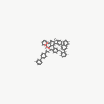 c1ccc(-c2ccc(-c3nc(-c4ccccc4)nc(-c4ccc(-n5c6ccccc6c6cc7ccccc7cc65)cc4-c4c5ccccc5cc5oc6ccccc6c45)n3)cc2)cc1